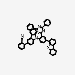 N#Cc1ccccc1-c1ccc2c(c1)c1ccccc1n2-c1ccc(-c2cccc3c2sc2ccccc23)cc1-c1nc(-c2ccccc2)nc(-c2ccccc2)n1